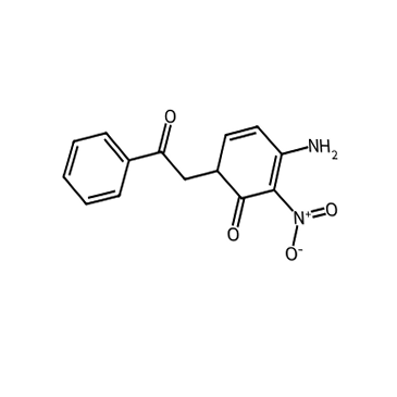 NC1=C([N+](=O)[O-])C(=O)C(CC(=O)c2ccccc2)C=C1